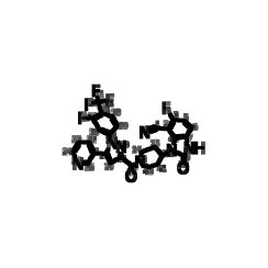 N#Cc1c(F)ccc2[nH]c(=O)n(C3CCN(C(=O)c4cc(-c5cccnc5)n(-c5ccc(C(F)(F)F)c(F)c5)n4)CC3)c12